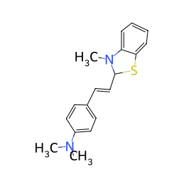 CN(C)c1ccc(/C=C/C2Sc3ccccc3N2C)cc1